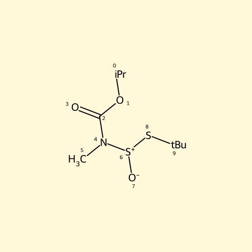 CC(C)OC(=O)N(C)[S+]([O-])SC(C)(C)C